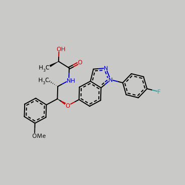 COc1cccc([C@H](Oc2ccc3c(cnn3-c3ccc(F)cc3)c2)[C@H](C)NC(=O)[C@@H](C)O)c1